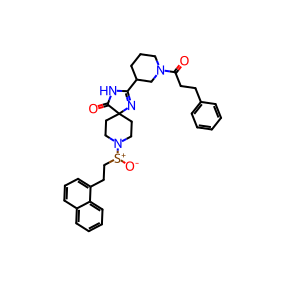 O=C(CCc1ccccc1)N1CCCC(C2=NC3(CCN([S+]([O-])CCc4cccc5ccccc45)CC3)C(=O)N2)C1